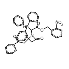 CC1(CC(=O)c2ccccc2)CC(=O)N1C(C(=O)OCc1ccccc1[N+](=O)[O-])[PH](c1ccccc1)(c1ccccc1)c1ccccc1